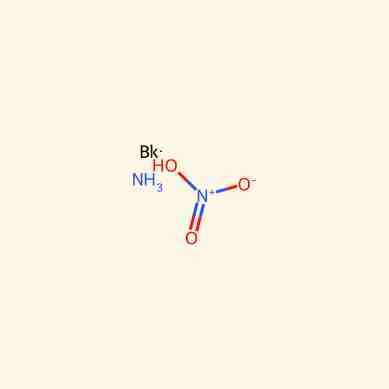 N.O=[N+]([O-])O.[Bk]